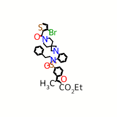 CCOC(=O)c1oc2ccc([S+]([O-])N(CCc3ccccc3)c3ccccc3N3CC4(CCN(C(=O)c5sccc5Br)CC4)C3)cc2c1C